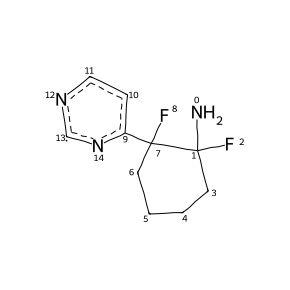 NC1(F)CCCCC1(F)c1ccn[c]n1